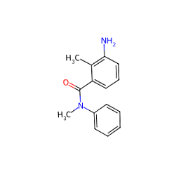 Cc1c(N)cccc1C(=O)N(C)c1ccccc1